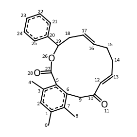 Cc1cc(C)c2c(c1C)CC(=O)/C=C/CC/C=C/CC(c1ccccc1)OC2=O